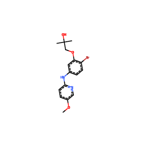 COc1ccc(Nc2ccc(Br)c(OCC(C)(C)O)c2)nc1